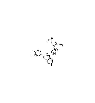 C[C@H]1CC[C@H](/C=C/c2cnccc2C(=O)NCC(=O)N2CC(F)(F)C[C@H]2C#N)CN1